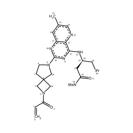 C=CC(=O)N1CC2(CCN(c3nc(N[C@H](CC(=O)NC)CC(C)C)c4ncc(C)cc4n3)C2)C1